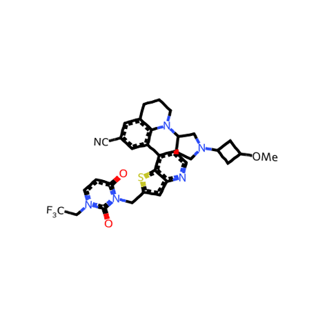 COC1CC(N2CCC(N3CCCc4cc(C#N)cc(-c5ccnc6cc(Cn7c(=O)ccn(CC(F)(F)F)c7=O)sc56)c43)C2)C1